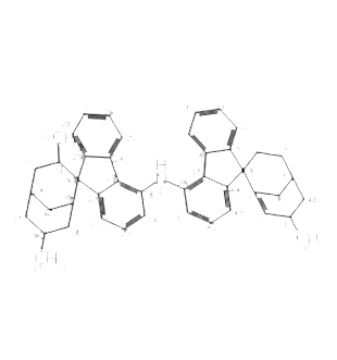 CC1C=C2CC(CCC23c2ccccc2-c2c(Nc4cccc5c4-c4ccccc4C54C(C)CC5CC(C)CC4C5)cccc23)C1